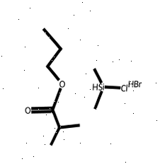 Br.CCCOC(=O)C(C)C.C[SiH](C)Cl